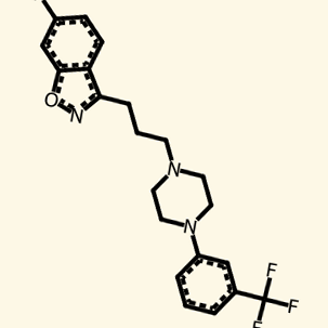 Fc1ccc2c(CCCN3CCN(c4cccc(C(F)(F)F)c4)CC3)noc2c1